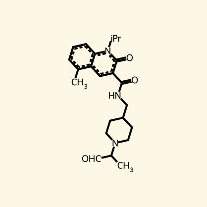 Cc1cccc2c1cc(C(=O)NCC1CCN(C(C)C=O)CC1)c(=O)n2C(C)C